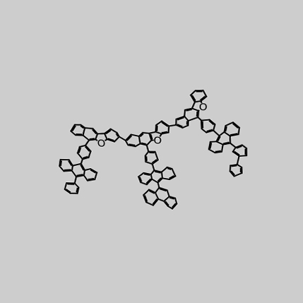 c1ccc(-c2cccc(-c3c4ccccc4c(-c4ccc(-c5c6ccc(-c7ccc8c(c7)oc7c(-c9ccc(-c%10c%11ccccc%11c(-c%11cc%12ccccc%12c%12ccccc%11%12)c%11ccccc%10%11)cc9)c9ccc(-c%10ccc%11c(c%10)oc%10c(-c%12ccc(-c%13c%14ccccc%14c(-c%14ccccc%14)c%14ccccc%13%14)cc%12)c%12ccccc%12cc%10%11)cc9cc78)cc6cc6c5oc5ccccc56)cc4)c4ccccc34)c2)cc1